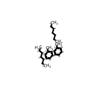 CCCCCCC.CCCCCCC.Cc1ccccc1.Cc1ccccc1